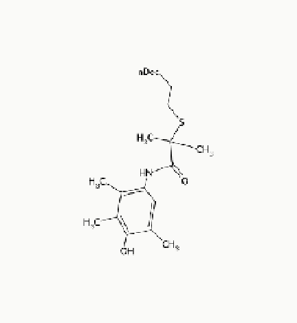 CCCCCCCCCCCCSC(C)(C)C(=O)Nc1cc(C)c(O)c(C)c1C